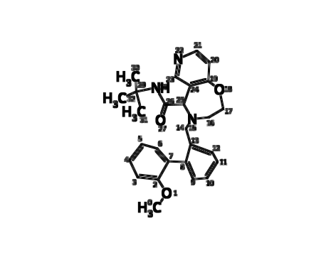 COc1ccccc1-c1ccccc1CN1CCOc2ccncc2C1C(=O)NC(C)(C)C